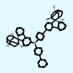 c1ccc(-c2ccc(N(c3ccc(-c4ccc5c(c4)-c4ccccc4[C@]54[C@H]5CC6C[C@H](C5)C[C@H]4C6)cc3)c3ccc4c(c3)-c3ccccc3[C@]43[C@@H]4CC5C[C@@H](C4)C[C@@H]3C5)cc2)cc1